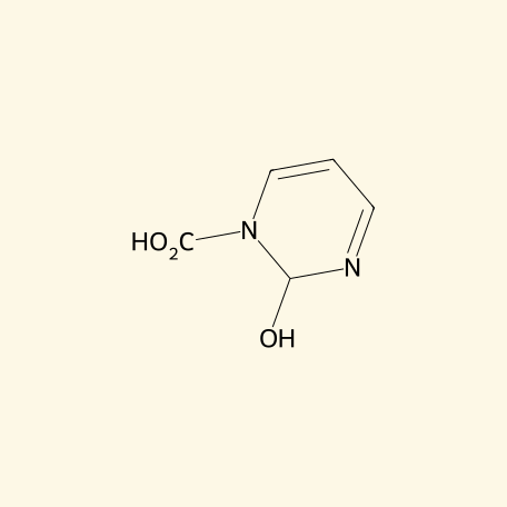 O=C(O)N1C=CC=NC1O